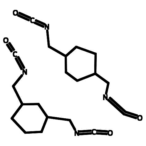 O=C=NCC1CCC(CN=C=O)CC1.O=C=NCC1CCCC(CN=C=O)C1